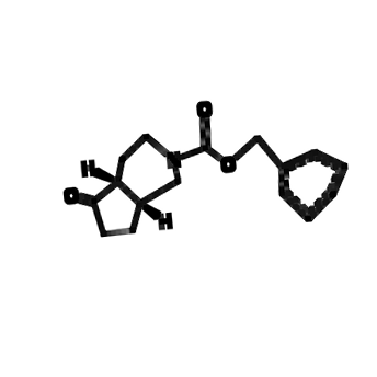 O=C1CC[C@H]2CN(C(=O)OCc3ccccc3)CC[C@@H]12